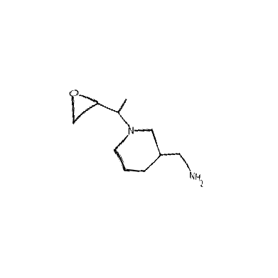 CC(C1CO1)N1CCCC(CN)C1